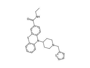 CCNC(=O)c1ccc2c(c1)Sc1ccccc1N2C1CCN(Cc2cccs2)CC1